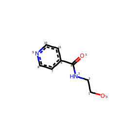 [O]CCNC(=O)c1ccncc1